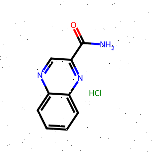 Cl.NC(=O)c1cnc2ccccc2n1